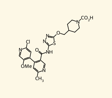 COc1cnc(Cl)cc1-c1cc(C)ncc1C(=O)Nc1nnc(OCC2CCN(C(=O)O)CC2)s1